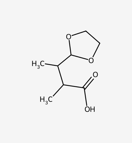 CC(C(=O)O)C(C)C1OCCO1